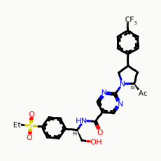 CCS(=O)(=O)c1ccc([C@H](CO)NC(=O)c2cnc(N3CC(c4ccc(C(F)(F)F)cc4)C[C@H]3C(C)=O)nc2)cc1